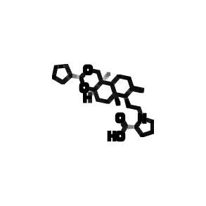 C=C1CCC2[C@]3(C)CO[C@@H](C4CCCC4)O[C@@H]3CC[C@@]2(C)[C@@H]1CCN1CCC[C@@H]1C(=O)O